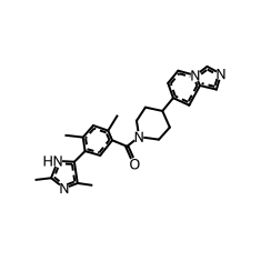 Cc1nc(C)c(-c2cc(C(=O)N3CCC(c4ccn5cncc5c4)CC3)c(C)cc2C)[nH]1